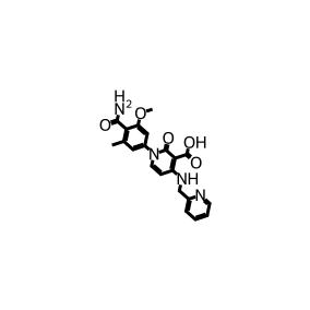 COc1cc(-n2ccc(NCc3ccccn3)c(C(=O)O)c2=O)cc(C)c1C(N)=O